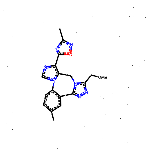 COCc1nnc2n1Cc1c(-c3nc(C)no3)ncn1-c1ccc(C)cc1-2